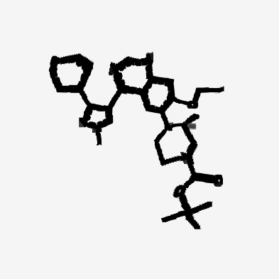 CCOc1cc2ncnc(-c3cn(C)nc3-c3ccccc3)c2cc1N1CCN(C(=O)OC(C)(C)C)C[C@@H]1C